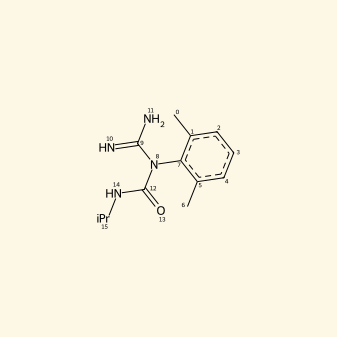 Cc1cccc(C)c1N(C(=N)N)C(=O)NC(C)C